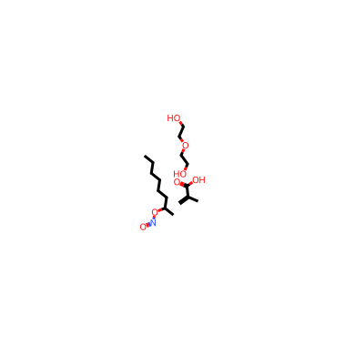 C=C(C)C(=O)O.CCCCCCC(C)ON=O.OCCOCCO